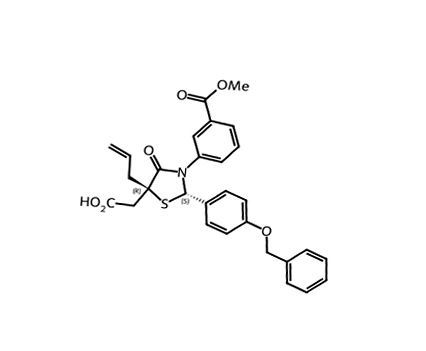 C=CC[C@]1(CC(=O)O)S[C@@H](c2ccc(OCc3ccccc3)cc2)N(c2cccc(C(=O)OC)c2)C1=O